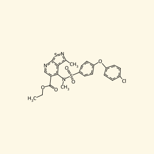 CCOC(=O)c1cnc2snc(C)c2c1N(C)S(=O)(=O)c1ccc(Oc2ccc(Cl)cc2)cc1